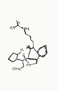 CC1CCCN1N(CC=O)S(=O)(=O)C1=C(CO)c2ccccc2C(CC=CCNC(=N)N)C1=S